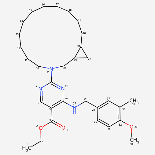 CCOC(=O)c1cnc(N2CCCCCCCCCCCC3CC3C2)nc1NCc1ccc(OC)c(C)c1